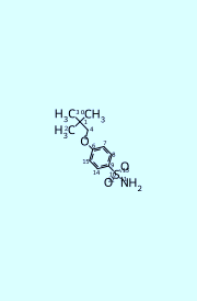 CC(C)(C)COc1ccc(S(N)(=O)=O)cc1